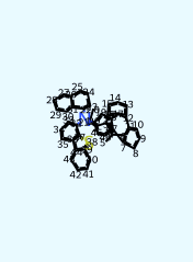 C/C=C\C1=C(C)c2c3cccc2-c2cccc1c2-c1cc(N(c2cccc4ccccc24)c2cccc4c2sc2ccccc24)ccc1-3